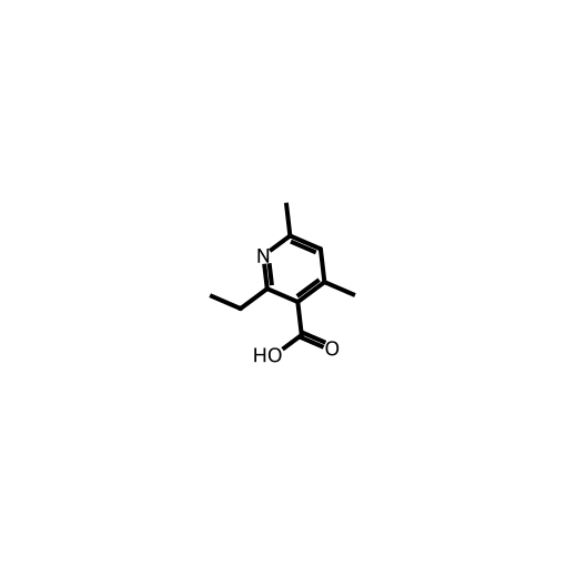 CCc1nc(C)cc(C)c1C(=O)O